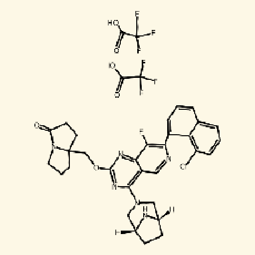 O=C(O)C(F)(F)F.O=C(O)C(F)(F)F.O=C1CCC2(COc3nc(N4C[C@H]5CC[C@@H](C4)N5)c4cnc(-c5cccc6cccc(Cl)c56)c(F)c4n3)CCCN12